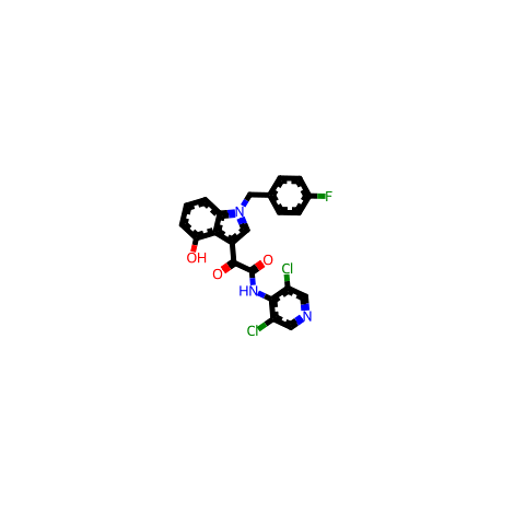 O=C(Nc1c(Cl)cncc1Cl)C(=O)c1cn(Cc2ccc(F)cc2)c2cccc(O)c12